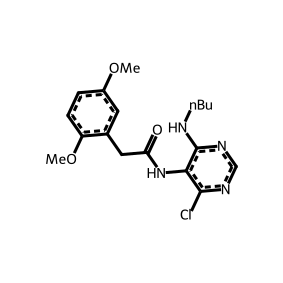 CCCCNc1ncnc(Cl)c1NC(=O)Cc1cc(OC)ccc1OC